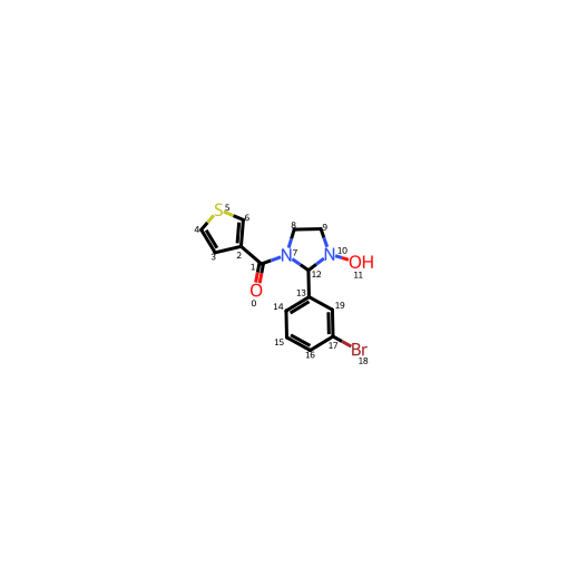 O=C(c1ccsc1)N1CCN(O)C1c1cccc(Br)c1